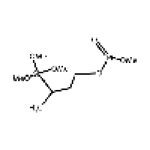 CO[PH](=O)OCCC(C)[Si](OC)(OC)OC